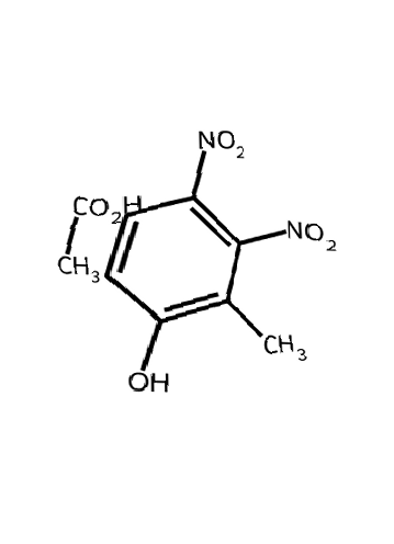 CC(=O)O.Cc1c(O)ccc([N+](=O)[O-])c1[N+](=O)[O-]